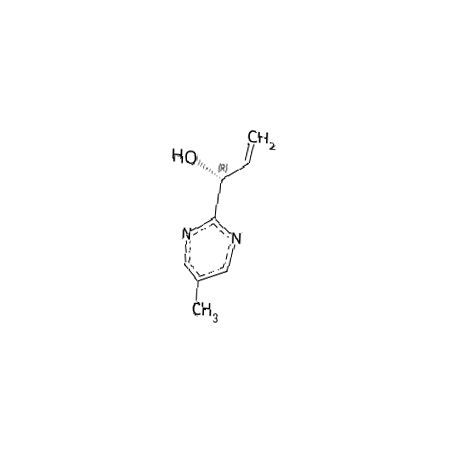 C=C[C@@H](O)c1ncc(C)cn1